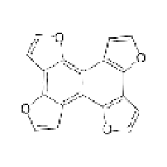 c1cc2c(o1)c1ccoc1c1c3ccoc3c3ccoc3c21